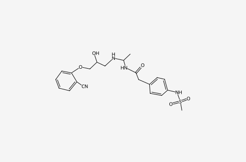 CC(NCC(O)COc1ccccc1C#N)NC(=O)Cc1ccc(NS(C)(=O)=O)cc1